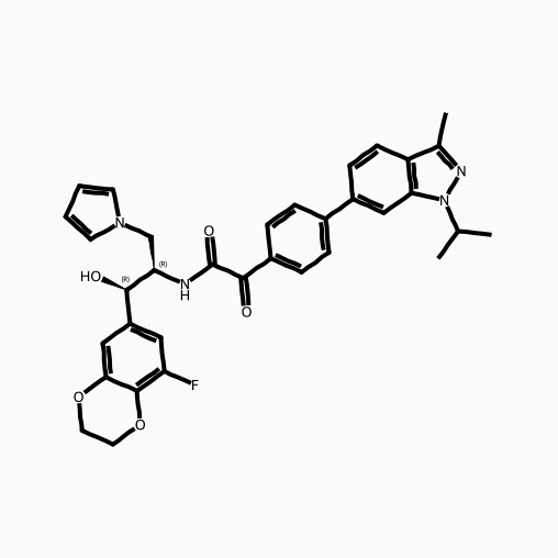 Cc1nn(C(C)C)c2cc(-c3ccc(C(=O)C(=O)N[C@H](Cn4cccc4)[C@H](O)c4cc(F)c5c(c4)OCCO5)cc3)ccc12